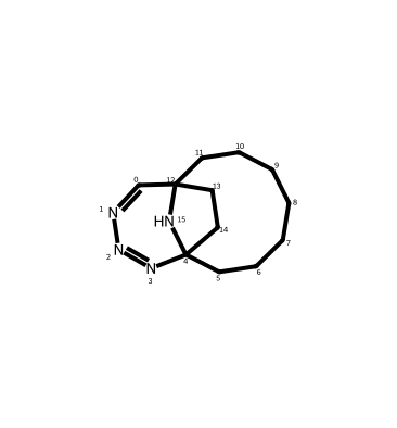 C1=NN=NC23CCCCCCCC1(CC2)N3